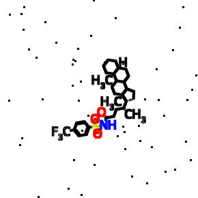 C[C@H](CCC(=O)NS(=O)(=O)c1ccc(C(F)(F)F)cc1)[C@H]1CCC2C3CC[C@@H]4CCCC[C@]4(C)C3CC[C@@]21C